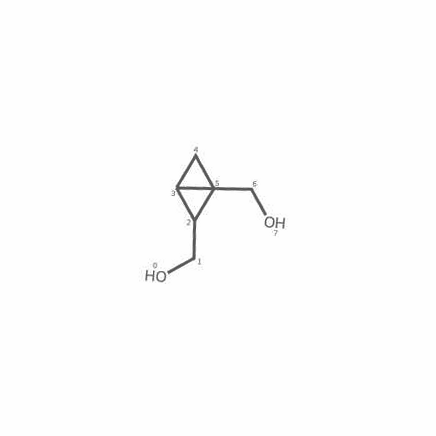 OCC1C2CC12CO